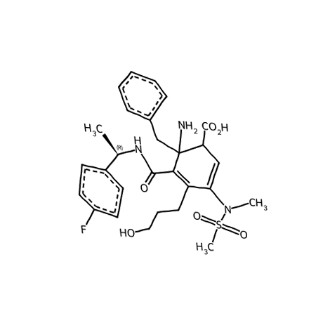 C[C@@H](NC(=O)C1=C(CCCO)C(N(C)S(C)(=O)=O)=CC(C(=O)O)C1(N)Cc1ccccc1)c1ccc(F)cc1